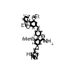 CCOc1cc(CN2CCC(c3c(OC)cc(OCc4nnn[nH]4)cc3C(N)=O)CC2)cc(OCC)c1-n1cccc1